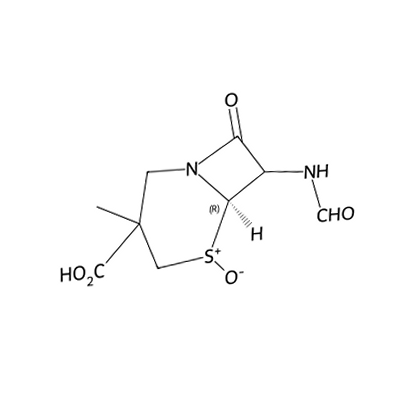 CC1(C(=O)O)CN2C(=O)C(NC=O)[C@H]2[S+]([O-])C1